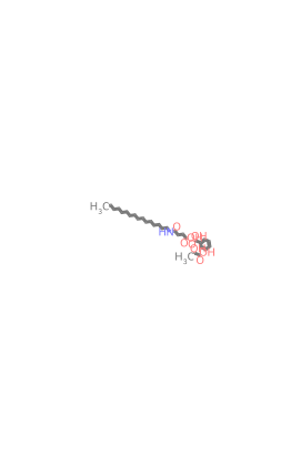 CC(O)C(=O)O.CCCCCCCCCCCCCCCCNC(=O)CCC(=O)O.O=C(O)c1ccccc1